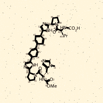 COC(=O)N[C@@H](Cc1cncn1C)C(=O)N1CCCC1c1ncc(-c2ccc(-c3ccc(-c4cnc([C@@H]5CCCN5C(=O)[C@@H](NC(=O)O)C(C)C)[nH]4)cc3)cc2)[nH]1